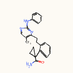 NC(=O)C1(c2ccccc2CCc2nc(Nc3cc[c]cc3)ncc2C(F)(F)F)CC1